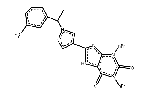 CCCn1c(=O)c2[nH]c(-c3cnn(C(C)c4cccc(C(F)(F)F)c4)c3)nc2n(CCC)c1=O